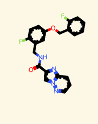 O=C(NCc1cc(OCc2ccccc2F)ccc1F)c1cn2ncccc2n1